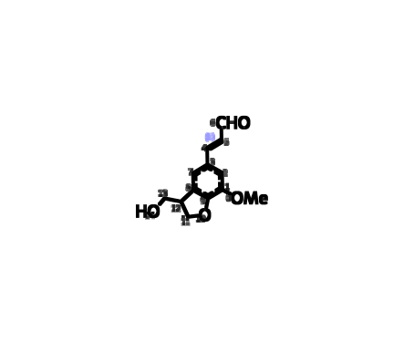 COc1cc(/C=C/C=O)cc2c1O[CH]C2CO